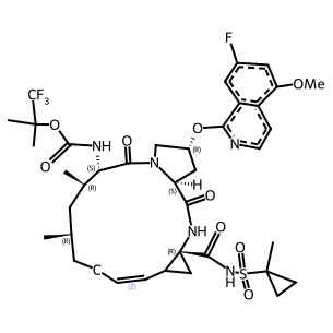 COc1cc(F)cc2c(O[C@@H]3C[C@H]4C(=O)N[C@]5(C(=O)NS(=O)(=O)C6(C)CC6)CC5/C=C\CC[C@@H](C)C[C@@H](C)[C@H](NC(=O)OC(C)(C)C(F)(F)F)C(=O)N4C3)nccc12